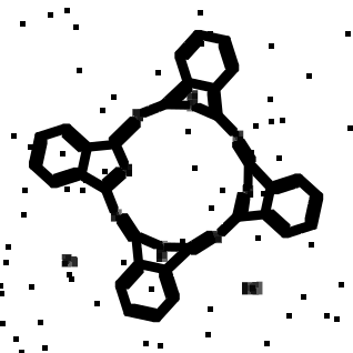 Cl.[Zn].c1ccc2c(c1)-c1nc-2nc2[nH]c(nc3nc(nc4[nH]c(n1)c1ccccc41)-c1ccccc1-3)c1ccccc21